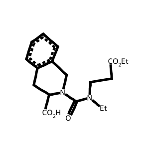 CCOC(=O)CCN(CC)C(=O)N1Cc2ccccc2CC1C(=O)O